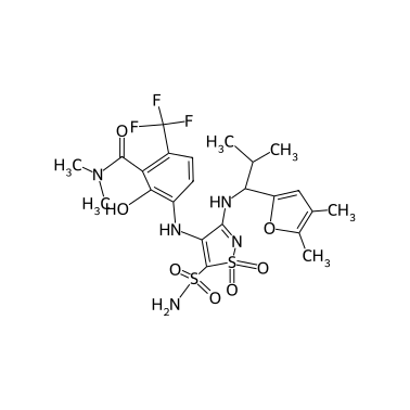 Cc1cc(C(NC2=NS(=O)(=O)C(S(N)(=O)=O)=C2Nc2ccc(C(F)(F)F)c(C(=O)N(C)C)c2O)C(C)C)oc1C